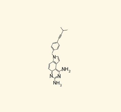 CC(C)C#Cc1ccc(Cn2ccc3c4c(N)nc(N)nc4ccc32)cc1